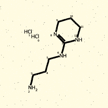 Cl.Cl.NCCCNC1=NCCCN1